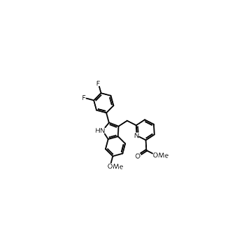 COC(=O)c1cccc(Cc2c(-c3ccc(F)c(F)c3)[nH]c3cc(OC)ccc23)n1